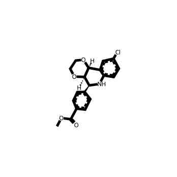 COC(=O)c1ccc([C@@H]2Nc3ccc(Cl)cc3[C@@H]3OCCO[C@H]23)cc1